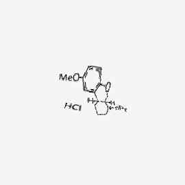 CCCN1CCC[C@@H]2c3cc(OC)ccc3OC[C@@H]21.Cl